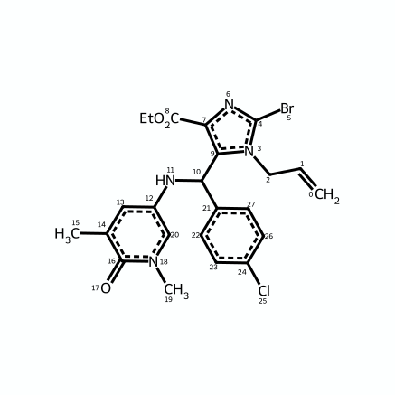 C=CCn1c(Br)nc(C(=O)OCC)c1C(Nc1cc(C)c(=O)n(C)c1)c1ccc(Cl)cc1